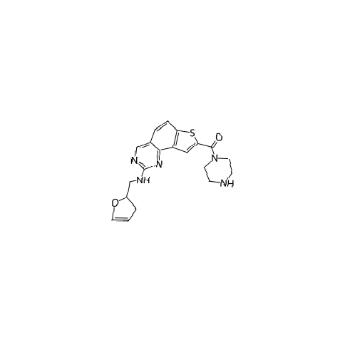 O=C(c1cc2c(ccc3cnc(NCC4CC=CO4)nc32)s1)N1CCNCC1